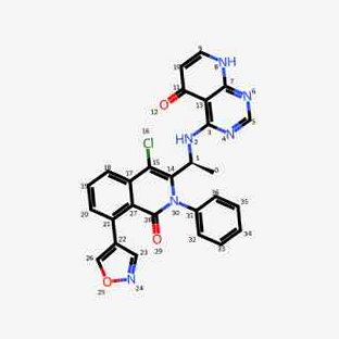 C[C@H](Nc1ncnc2[nH]ccc(=O)c12)c1c(Cl)c2cccc(-c3cnoc3)c2c(=O)n1-c1ccccc1